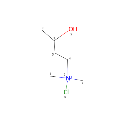 CC(O)CC[N+](C)(C)Cl